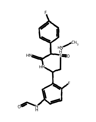 CN[SH]1(=O)CC(c2cc(NC=O)ccc2F)NC(=N)C1c1ccc(F)cc1